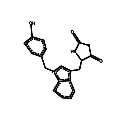 O=C1NC(Cc2cn(Cc3ccc(O)cc3)c3ccccc23)C(=O)S1